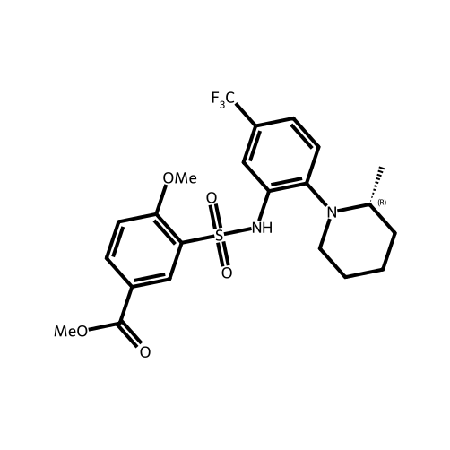 COC(=O)c1ccc(OC)c(S(=O)(=O)Nc2cc(C(F)(F)F)ccc2N2CCCC[C@H]2C)c1